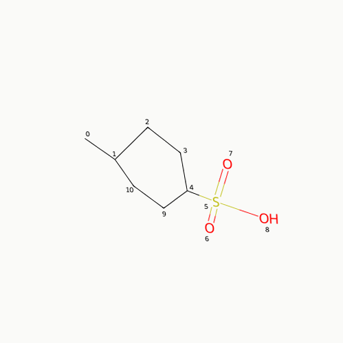 CC1CCC(S(=O)(=O)O)CC1